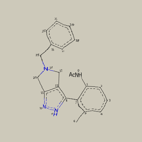 CC(=O)Nc1cccc(C)c1-c1[nH]nc2c1CN(Cc1ccccc1)C2